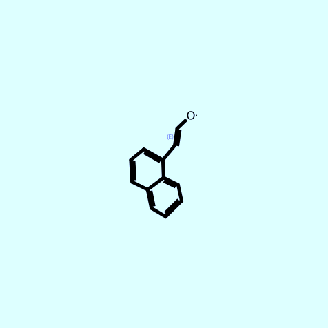 [O]/C=C/c1cccc2ccccc12